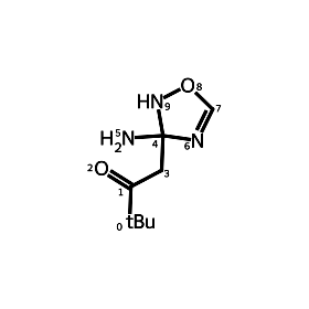 CC(C)(C)C(=O)CC1(N)N=CON1